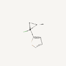 C[C@@H]1[C@@H](C)C1(Cl)c1cccs1